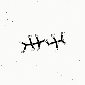 FC(F)C(F)(F)COC(F)(F)C(F)(F)C(F)F